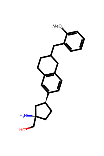 COc1ccccc1CC1CCc2cc([C@H]3CC[C@](N)(CO)C3)ccc2C1